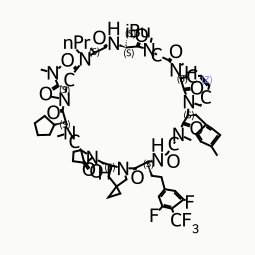 CCC[C@H]1C(=O)N[C@@H]([C@@H](C)CC)C(=O)N(C)CC(=O)N(C)[C@H]2C/C=C\CCN(C2=O)[C@@H](Cc2ccc(C)cc2)C(=O)N(C)CC(=O)N[C@@H](CCc2cc(F)c(C(F)(F)F)c(F)c2)C(=O)N2CC3(CC3)C[C@H]2C(=O)N(C)C2(CCC2=O)CN(C)[C@@H](C2CCCC2)C(=O)N(C)[C@H](C(=O)N(C)C)CC(=O)N1C